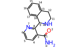 NC(=O)c1cccnc1C1NCCc2ccccc21